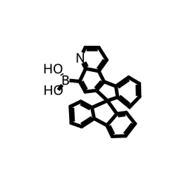 OB(O)c1cc2c(c3cccnc13)-c1ccccc1C21c2ccccc2-c2ccccc21